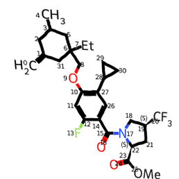 C=C1CC(C)CC(CC)(COc2cc(F)c(C(=O)N3C[C@@H](C(F)(F)F)C[C@H]3C(=O)OC)cc2C2CC2)C1